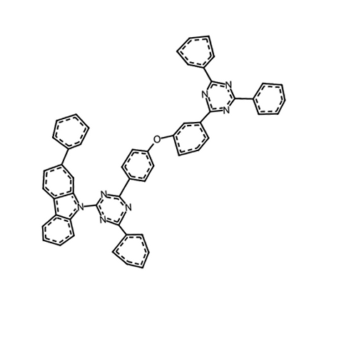 c1ccc(-c2ccc3c4ccccc4n(-c4nc(-c5ccccc5)nc(-c5ccc(Oc6cccc(-c7nc(-c8ccccc8)nc(-c8ccccc8)n7)c6)cc5)n4)c3c2)cc1